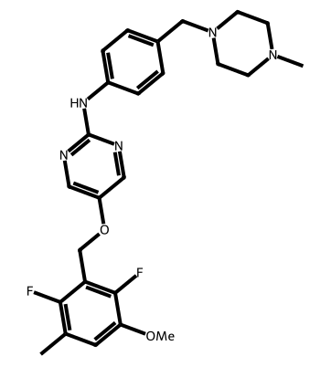 COc1cc(C)c(F)c(COc2cnc(Nc3ccc(CN4CCN(C)CC4)cc3)nc2)c1F